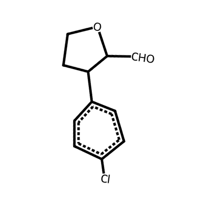 O=CC1OCCC1c1ccc(Cl)cc1